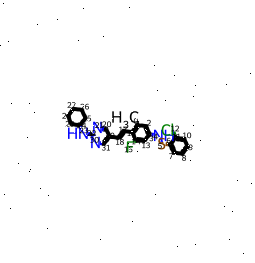 Cc1cc(NSc2ccccc2Cl)cc(F)c1/C=C/c1cnc(NC2CCCCC2)nc1